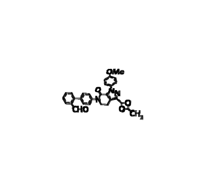 COc1ccc(-n2nc(C3OC(C)O3)c3c2C(=O)N(c2ccc(-c4ccccc4C=O)cc2)CC3)cc1